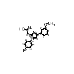 COc1cccc(-c2cn(-c3ccc(F)cc3)c(CC(=O)O)n2)c1